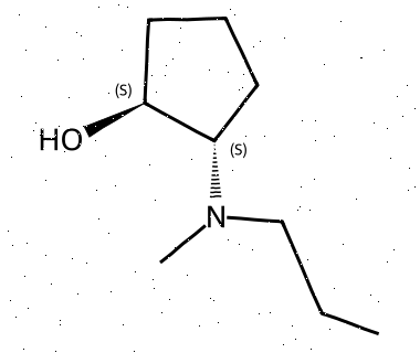 CCCN(C)[C@H]1CCC[C@@H]1O